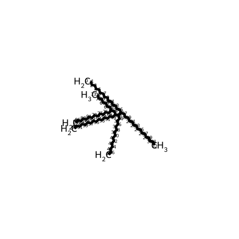 C=CCCCCCCCCCCCCCCC(CCCCCCCCCCCCC=CCC)=C(CCCCCCCCCCCCC=C)C(CCCCCCCCCCCCCC=C)CC(CCCCCCCC)CCCCCCCCCCCC=C